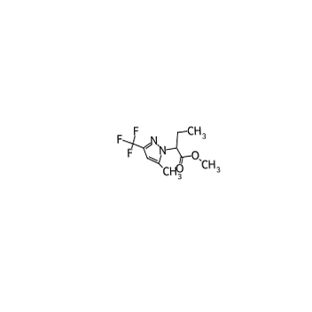 CCC(C(=O)OC)n1nc(C(F)(F)F)cc1C